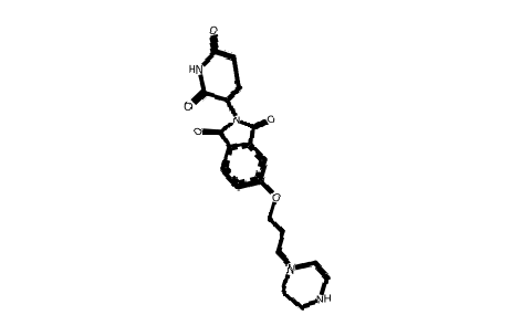 O=C1CCC(N2C(=O)c3ccc(OCCCN4CCNCC4)cc3C2=O)C(=O)N1